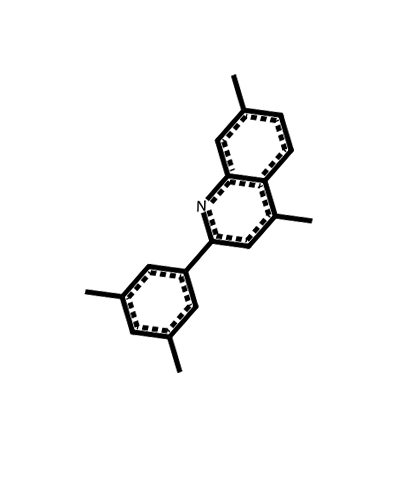 Cc1cc(C)cc(-c2cc(C)c3ccc(C)cc3n2)c1